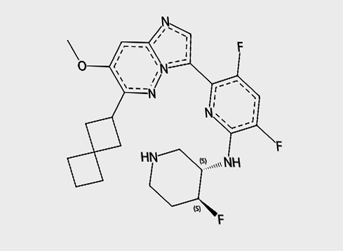 COc1cc2ncc(-c3nc(N[C@H]4CNCC[C@@H]4F)c(F)cc3F)n2nc1C1CC2(CCC2)C1